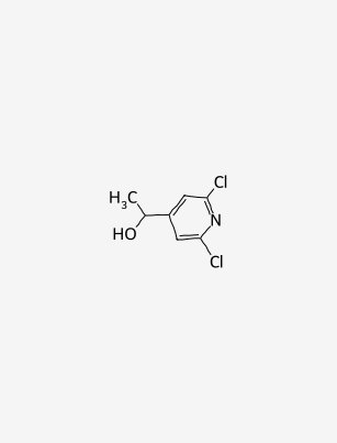 CC(O)c1cc(Cl)nc(Cl)c1